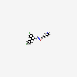 O=CN(CCCC=C(c1ccc(F)cc1)c1ccc(F)cc1)CCCCc1cccnc1